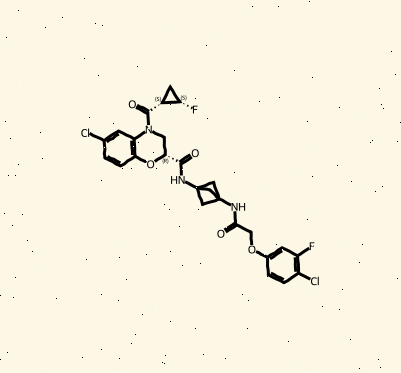 O=C(COc1ccc(Cl)c(F)c1)NC12CC(NC(=O)[C@H]3CN(C(=O)[C@@H]4C[C@@H]4F)c4cc(Cl)ccc4O3)(C1)C2